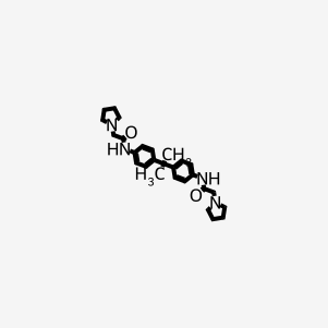 CC(C)(c1ccc(NC(=O)CN2CCCC2)cc1)c1ccc(NC(=O)CN2CCCC2)cc1